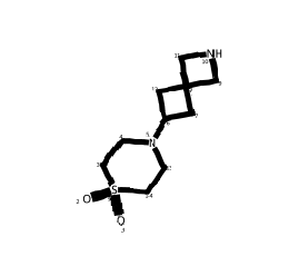 O=S1(=O)CCN(C2CC3(CNC3)C2)CC1